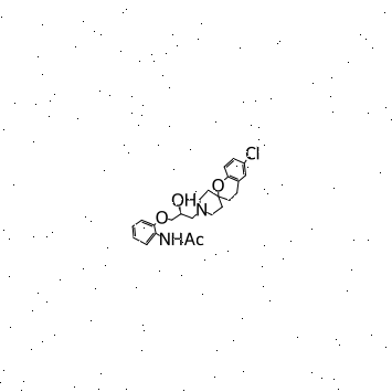 CC(=O)Nc1ccccc1OC[C@@H](O)CN1CCC2(CCc3cc(Cl)ccc3O2)CC1